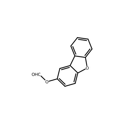 O=COc1ccc2oc3ccccc3c2c1